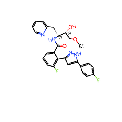 CCOC[C@@H](O)[C@@H](Cc1ccccn1)NC(=O)c1cccc(F)c1-c1cc(-c2ccc(F)cc2)[nH]n1